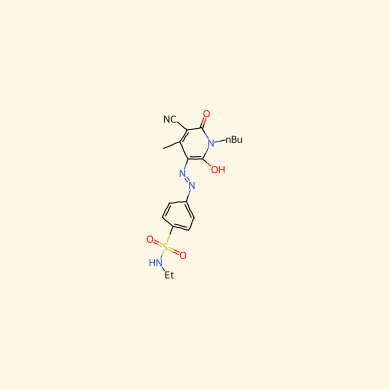 CCCCn1c(O)c(/N=N/c2ccc(S(=O)(=O)NCC)cc2)c(C)c(C#N)c1=O